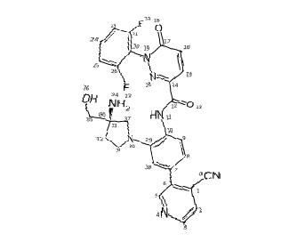 N#Cc1ccncc1-c1ccc(NC(=O)c2ccc(=O)n(-c3c(F)cccc3F)n2)c(N2CC[C@](N)(CO)C2)c1